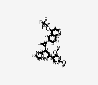 COc1ncc(-c2cc([C@H]3C[C@@H]3c3ccc4nccc(OCC(F)(F)F)c4c3)c3nccn3n2)c(OC)n1